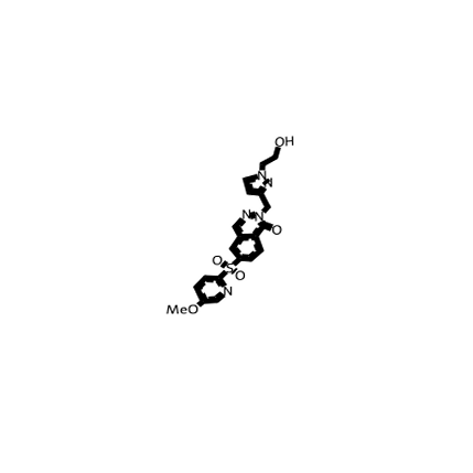 COc1ccc(S(=O)(=O)c2ccc3c(=O)n(Cc4ccn(CCO)n4)ncc3c2)nc1